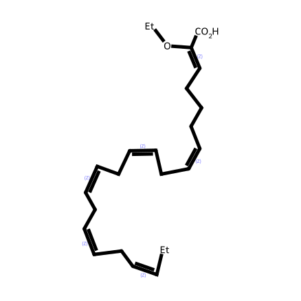 CC/C=C\C/C=C\C/C=C\C/C=C\C/C=C\CCC/C=C(\OCC)C(=O)O